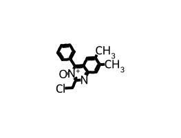 Cc1cc2nc(CCl)[n+]([O-])c(-c3ccccc3)c2cc1C